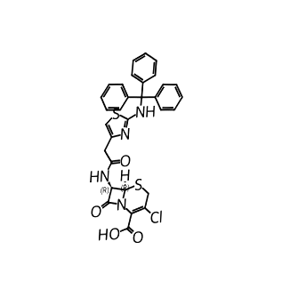 O=C(Cc1csc(NC(c2ccccc2)(c2ccccc2)c2ccccc2)n1)N[C@@H]1C(=O)N2C(C(=O)O)=C(Cl)CS[C@H]12